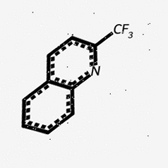 FC(F)(F)c1[c]cc2ccccc2n1